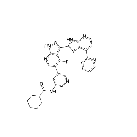 O=C(Nc1cncc(-c2cnc3[nH]nc(-c4nc5c(-c6ccccn6)ccnc5[nH]4)c3c2F)c1)C1CCCCC1